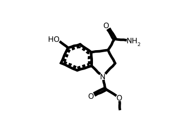 COC(=O)N1CC(C(N)=O)c2cc(O)ccc21